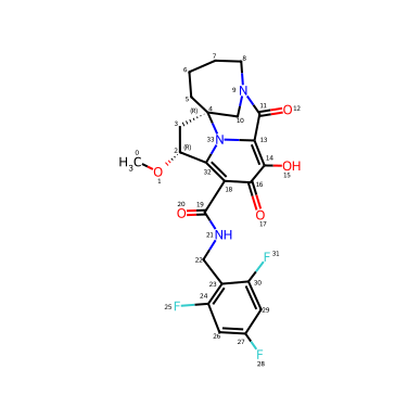 CO[C@@H]1C[C@]23CCCCN(C2)C(=O)c2c(O)c(=O)c(C(=O)NCc4c(F)cc(F)cc4F)c1n23